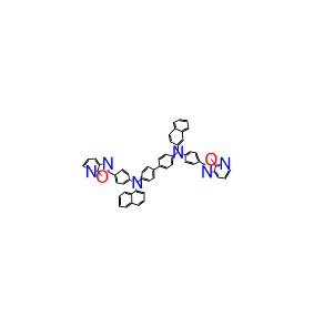 c1ccc2cc(N(c3ccc(-c4ccc(N(c5ccc(-c6nc7cccnc7o6)cc5)c5cccc6ccccc56)cc4)cc3)c3ccc(-c4nc5cccnc5o4)cc3)ccc2c1